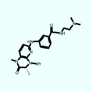 CC(C)N1c2nc(Nc3cccc(C(=O)NCCN(C)C)c3)ccc2N(C)C(=O)[C@H]1C